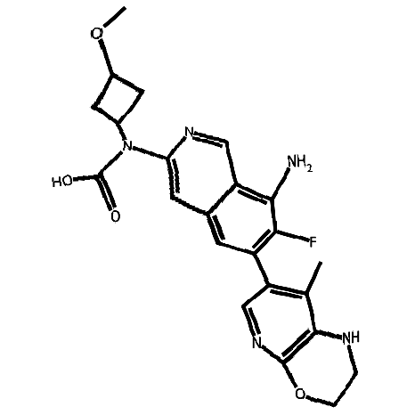 COC1CC(N(C(=O)O)c2cc3cc(-c4cnc5c(c4C)NCCO5)c(F)c(N)c3cn2)C1